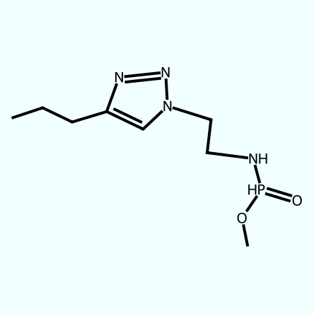 CCCc1cn(CCN[PH](=O)OC)nn1